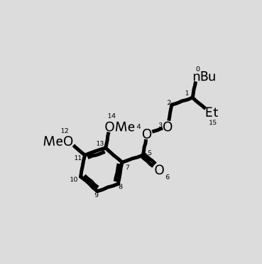 CCCCC([CH]OOC(=O)c1cccc(OC)c1OC)CC